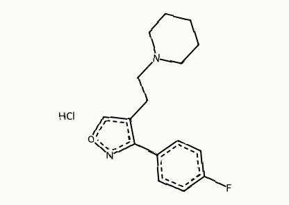 Cl.Fc1ccc(-c2nocc2CCN2CCCCC2)cc1